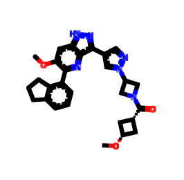 COc1cc2[nH]nc(-c3cnn(C4CN(C(=O)[C@H]5C[C@@H](OC)C5)C4)c3)c2nc1-c1cccc2c1CCC2